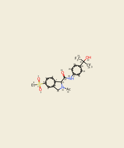 CCS(=O)(=O)c1ccc2c(c1)CN(C(C)=O)C2C(=O)Nc1ccc(C(O)(C(F)(F)F)C(F)(F)F)cc1